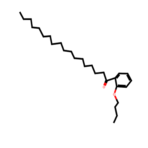 CCCCCCCCCCCCCCCCCC(=O)c1ccccc1OCCCC